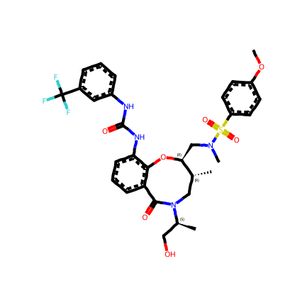 COc1ccc(S(=O)(=O)N(C)C[C@@H]2Oc3c(NC(=O)Nc4cccc(C(F)(F)F)c4)cccc3C(=O)N([C@@H](C)CO)C[C@H]2C)cc1